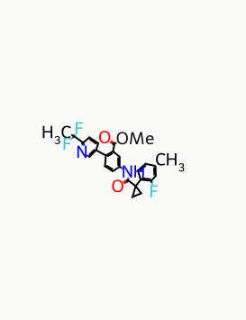 COC(=O)c1cc(NC(=O)C2(c3ccc(C)cc3F)CC2)ccc1-c1ccc(C(C)(F)F)nc1